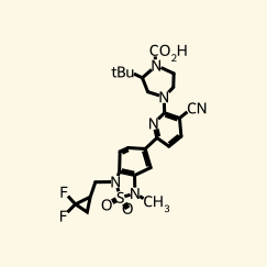 CN1c2cc(-c3ccc(C#N)c(N4CCN(C(=O)O)C(C(C)(C)C)C4)n3)ccc2N(CC2CC2(F)F)S1(=O)=O